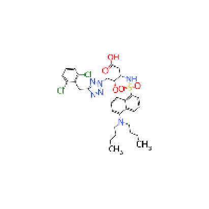 CCCCN(CCCC)c1cccc2c(S(=O)(=O)NC(CC(=O)O)C(=O)Cn3nnc(Cc4c(Cl)cccc4Cl)n3)cccc12